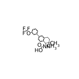 CC1(C)CCc2cc(-c3cccc(OC(F)(F)F)c3)ccc2C1NC(=O)O